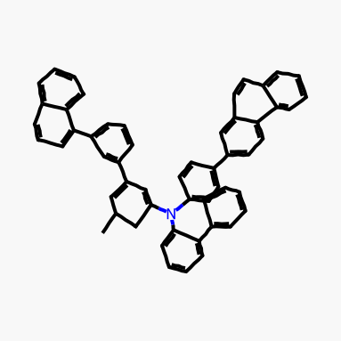 CC1C=C(c2cccc(-c3cccc4ccccc34)c2)C=C(N(c2ccc(-c3ccc4c(ccc5ccccc54)c3)cc2)c2ccccc2-c2ccccc2)C1